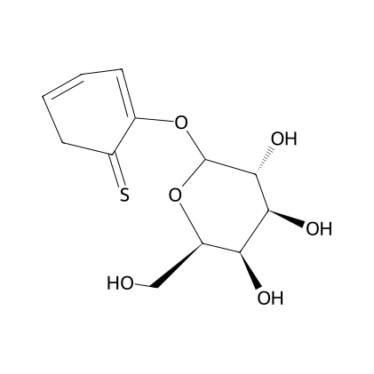 OC[C@H]1OC(OC2=CC=CCC2=S)[C@H](O)[C@@H](O)[C@H]1O